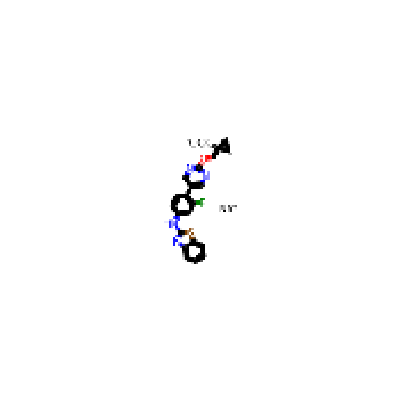 O=C([O-])C1(COc2ncc(-c3ccc(Nc4nc5ccccc5s4)cc3F)cn2)CC1.[Na+]